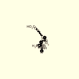 C[C@@H](NC(=O)c1cccc(NC2(C(=N)NC(=N)c3ccncc3)CCN(C)CC2)c1)c1cccc(OCCCCCCOCCOCC(=O)O)c1